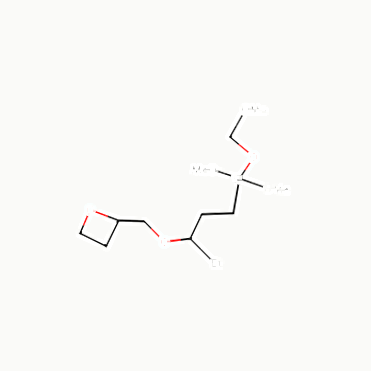 CCC(CC[Si](OC)(OC)OCOC)OCC1CCO1